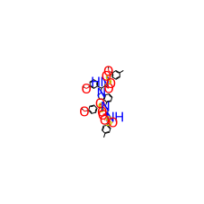 COc1ccc(S(=O)(=O)N(CC(=O)NS(=O)(=O)c2ccc(C)cc2)c2cccc3c2CCN3C(C(=O)NS(=O)(=O)c2ccc(C)cc2OC)c2cccc(OC)c2)cc1